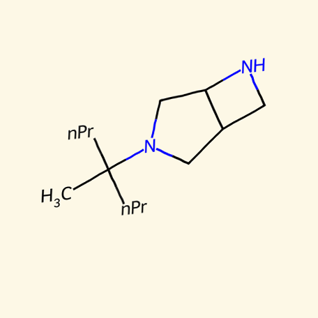 CCCC(C)(CCC)N1CC2CNC2C1